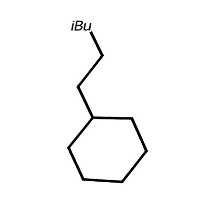 [CH2]C(CC)CCC1CCCCC1